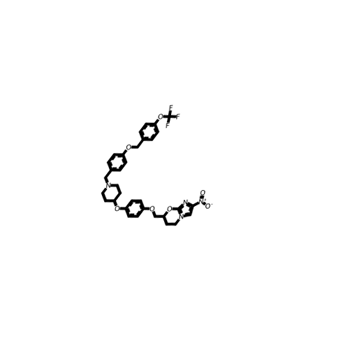 O=[N+]([O-])c1cn2c(n1)OC(COc1ccc(OC3CCN(Cc4ccc(OCc5ccc(OC(F)(F)F)cc5)cc4)CC3)cc1)CC2